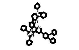 c1ccc(-c2nc(-c3ccccc3)nc(-c3cc(-c4ccc(-c5ccccc5)c(-c5ccccc5)c4)cnc3-c3cccc4c3oc3c4ccc4c3c3ccccc3n4-c3ccccc3)n2)cc1